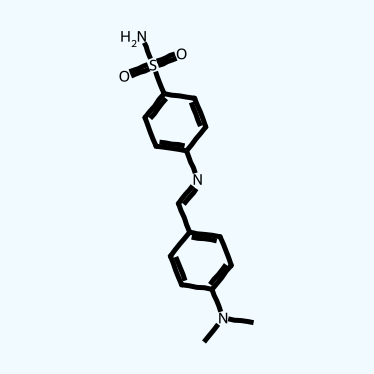 CN(C)c1ccc(C=Nc2ccc(S(N)(=O)=O)cc2)cc1